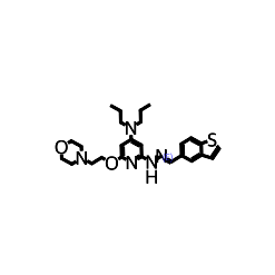 CCCN(CCC)c1cc(N/N=C/c2ccc3sccc3c2)nc(OCCN2CCOCC2)c1